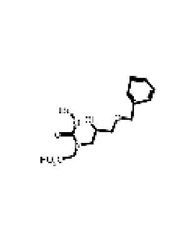 CC(C)(C)OC(=O)N(CC(=O)O)CC(O)COCc1ccccc1